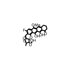 COc1c2cc3c(c(O)c2c(O)c2c4c(c(F)cc12)C1OC2(C)OC1[C@@](O)(O4)[C@@]21CO1)C(=O)CCC3